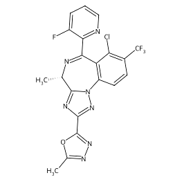 Cc1nnc(-c2nc3n(n2)-c2ccc(C(F)(F)F)c(Cl)c2C(c2ncccc2F)=N[C@H]3C)o1